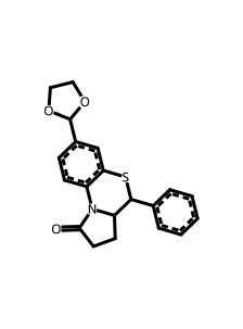 O=C1CCC2C(c3ccccc3)Sc3cc(C4OCCO4)ccc3N12